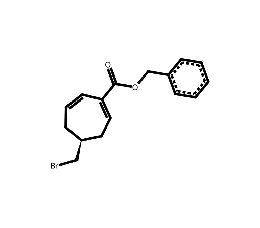 O=C(OCc1ccccc1)C1=CC[C@@H](CBr)CC=C1